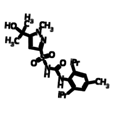 Cc1cc(C(C)C)c(NC(=O)NS(=O)(=O)c2cc(C(C)(C)O)n(C)n2)c(C(C)C)c1